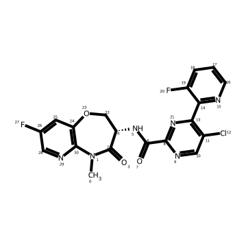 CN1C(=O)[C@@H](NC(=O)c2ncc(Cl)c(-c3ncccc3F)n2)COc2cc(F)cnc21